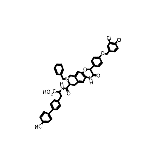 N#Cc1ccc(-c2ccc(CC(NC(=O)C3Cc4cc5c(cc4CN3Cc3ccccc3)OC(c3ccc(OCc4ccc(Cl)c(Cl)c4)cc3)C(=O)N5)C(=O)O)cc2)cc1